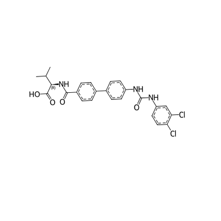 CC(C)[C@@H](NC(=O)c1ccc(-c2ccc(NC(=O)Nc3ccc(Cl)c(Cl)c3)cc2)cc1)C(=O)O